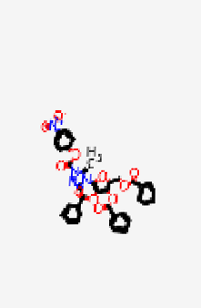 C=C1N(C(=O)Oc2ccc([N+](=O)[O-])cc2)N=CN1C1OC(COC(=O)c2ccccc2)C(OC(=O)c2ccccc2)C1OC(=O)c1ccccc1